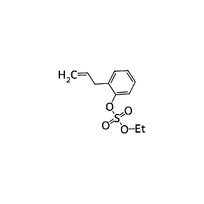 C=CCc1ccccc1OS(=O)(=O)OCC